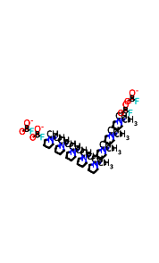 C[N+]1(C)CCCC1.C[N+]1(C)CCCC1.C[N+]1(C)CCCC1.C[N+]1(C)CCCC1.C[N+]1(C)CCCC1.C[N+]1(C)CCCC1.C[N+]1(C)CCCC1.C[N+]1(C)CCCC1.[O-]B([O-])F.[O-]B([O-])F.[O-]B([O-])F.[O-]B([O-])F